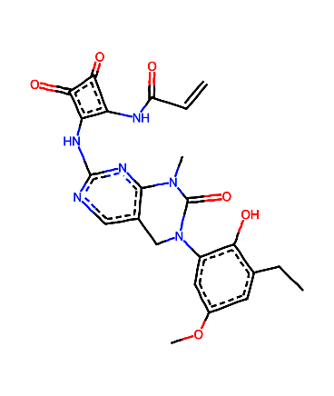 C=CC(=O)Nc1c(Nc2ncc3c(n2)N(C)C(=O)N(c2cc(OC)cc(CC)c2O)C3)c(=O)c1=O